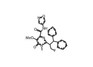 COc1c(C(=O)Nc2cnoc2)nc(C(CF)C(c2ccccc2)c2ccccc2)n(C)c1=O